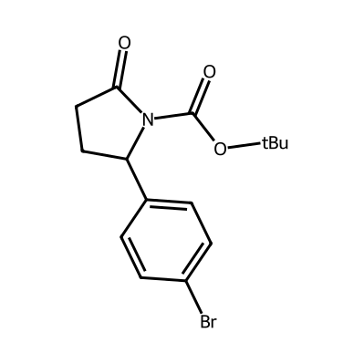 CC(C)(C)OC(=O)N1C(=O)CCC1c1ccc(Br)cc1